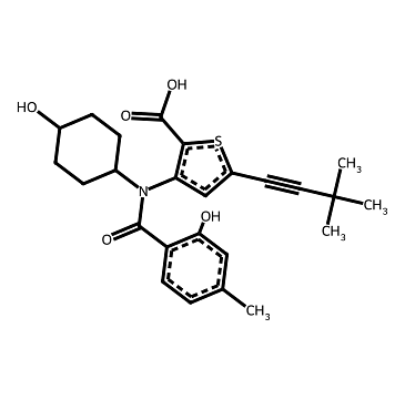 Cc1ccc(C(=O)N(c2cc(C#CC(C)(C)C)sc2C(=O)O)C2CCC(O)CC2)c(O)c1